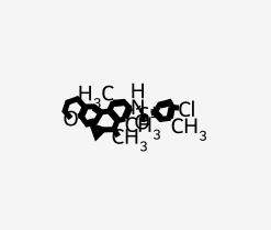 Cc1cc([S+]([O-])Nc2cc(C)c(-c3ccc4c(c3)CCCO4)c(C(C)C3CC3)c2C)ccc1Cl